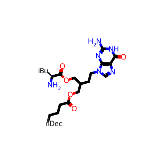 CCCCCCCCCCCCCC(=O)OCC(CCn1cnc2c(=O)[nH]c(N)nc21)COC(=O)[C@@H](N)C(C)CC